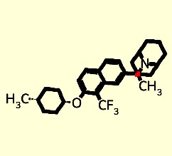 CC(c1ccc2ccc(O[C@H]3CC[C@@H](C)CC3)c(C(F)(F)F)c2c1)N1C2CCCC1CCC2